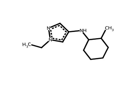 CCn1cc(NC2CCCCC2C)cn1